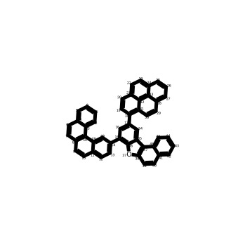 c1ccc2c(c1)ccc1ccc3ccc(-c4cc(-c5ccc6ccc7cccc8ccc5c6c78)cc5c4oc4ccc6ccccc6c45)cc3c12